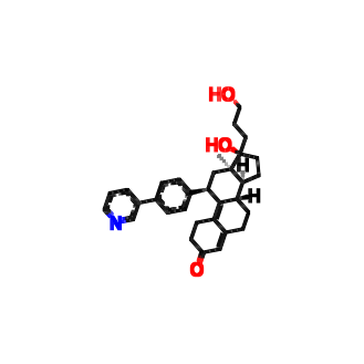 C[C@@]12C[C@H](c3ccc(-c4cccnc4)cc3)C3=C4CCC(=O)C=C4CC[C@H]3[C@@H]1CC[C@@]2(O)CCCO